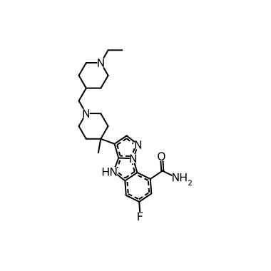 CCN1CCC(CN2CCC(C)(c3cnn4c3[nH]c3cc(F)cc(C(N)=O)c34)CC2)CC1